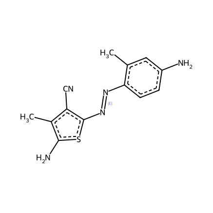 Cc1cc(N)ccc1/N=N/c1sc(N)c(C)c1C#N